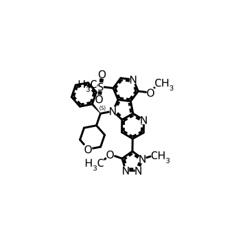 COc1nnn(C)c1-c1cnc2c3c(OC)ncc(S(C)(=O)=O)c3n([C@H](c3ccccc3)C3CCOCC3)c2c1